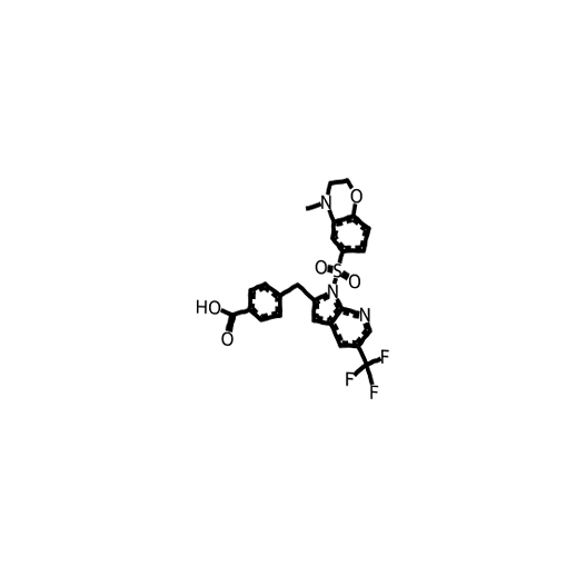 CN1CCOc2ccc(S(=O)(=O)n3c(Cc4ccc(C(=O)O)cc4)cc4cc(C(F)(F)F)cnc43)cc21